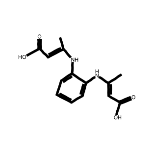 CC(=CC(=O)O)Nc1ccccc1NC(C)=CC(=O)O